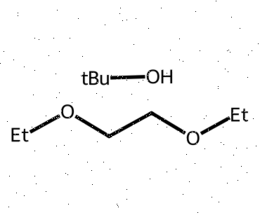 CC(C)(C)O.CCOCCOCC